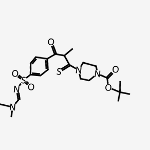 CC(C(=O)c1ccc(S(=O)(=O)/N=C/N(C)C)cc1)C(=S)N1CCN(C(=O)OC(C)(C)C)CC1